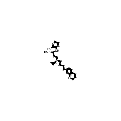 N#Cc1nccnc1NC(CCN(CCCCc1ccc2c(n1)NCCC2)C1CC1)C(=O)O